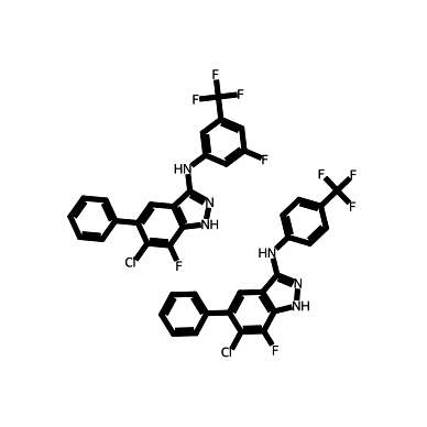 Fc1c(Cl)c(-c2ccccc2)cc2c(Nc3ccc(C(F)(F)F)cc3)n[nH]c12.Fc1cc(Nc2n[nH]c3c(F)c(Cl)c(-c4ccccc4)cc23)cc(C(F)(F)F)c1